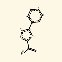 C=C(c1nc(-c2ccccc2)ns1)C(C)C